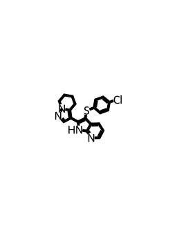 Clc1ccc(Sc2c(-c3cnn4c3CCCC4)[nH]c3ncccc23)cc1